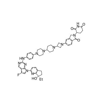 CC[C@@]1(O)CCc2ccc(-n3cc(F)c4cnc(Nc5ccc(N6CCN(C7CCN(C8CN(c9ccc%10c(c9)CN(C9CCC(=O)NC9=O)C%10=O)C8)CC7)CC6)cc5)nc43)nc21